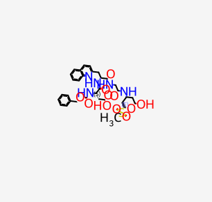 CS(=O)(=O)/C=C/C(CC(=O)O)NC(=O)CNC(=O)C(Cc1ccc2ccccc2n1)NC(=O)[C@H](CC(=O)O)NC(=O)OCc1ccccc1